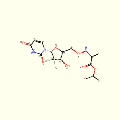 CC(C)OC(=O)[C@H](C)NOCC1O[C@@H](n2ccc(=O)[nH]c2=O)[C@](C)(F)[C@@H]1O